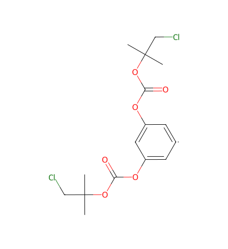 CC(C)(CCl)OC(=O)Oc1c[c]cc(OC(=O)OC(C)(C)CCl)c1